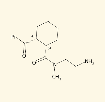 CC(C)C(=O)[C@@H]1CCCC[C@@H]1C(=O)N(C)CCN